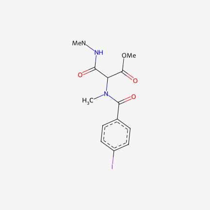 CNNC(=O)C(C(=O)OC)N(C)C(=O)c1ccc(I)cc1